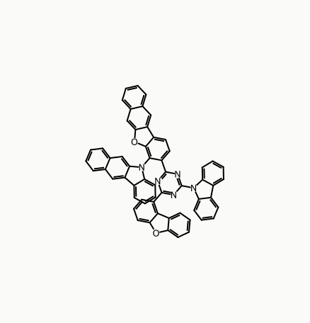 c1ccc2cc3c(cc2c1)oc1c(-n2c4ccccc4c4cc5ccccc5cc42)c(-c2nc(-c4cccc5oc6ccccc6c45)nc(-n4c5ccccc5c5ccccc54)n2)ccc13